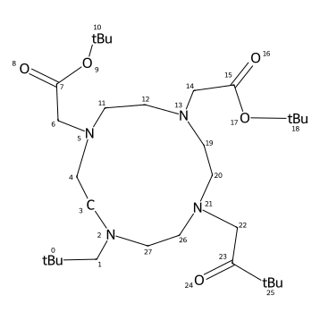 CC(C)(C)CN1CCN(CC(=O)OC(C)(C)C)CCN(CC(=O)OC(C)(C)C)CCN(CC(=O)C(C)(C)C)CC1